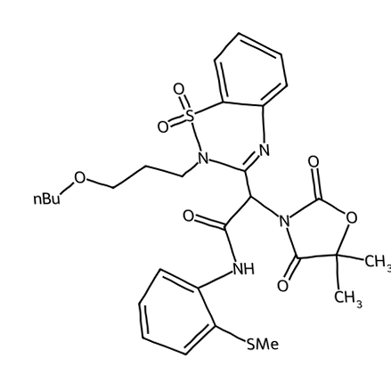 CCCCOCCCN1C(C(C(=O)Nc2ccccc2SC)N2C(=O)OC(C)(C)C2=O)=Nc2ccccc2S1(=O)=O